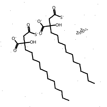 CCCCCCCCCCCCC(O)(CC(=O)[S-])C(=O)[O-].CCCCCCCCCCCCC(O)(CC(=O)[S-])C(=O)[O-].[Zn+2].[Zn+2]